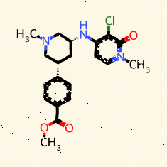 COC(=O)c1ccc([C@H]2C[C@@H](Nc3ccn(C)c(=O)c3Cl)CN(C)C2)cc1